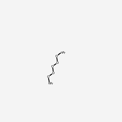 CCCOOOOOCCC